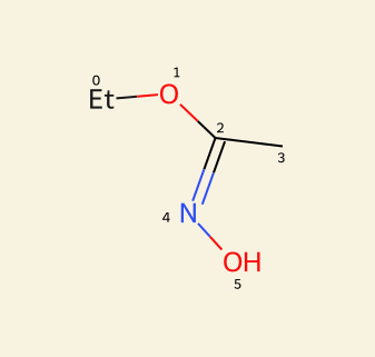 CCOC(C)=NO